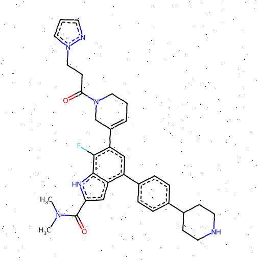 CN(C)C(=O)c1cc2c(-c3ccc(C4CCNCC4)cc3)cc(C3=CCCN(C(=O)CCn4cccn4)C3)c(F)c2[nH]1